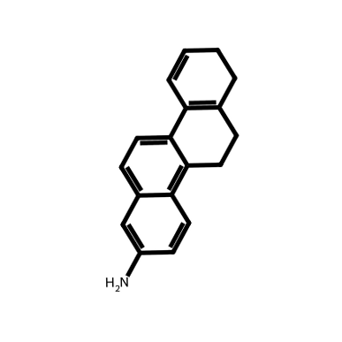 Nc1ccc2c3c(ccc2c1)C1=C(CCC=C1)CC3